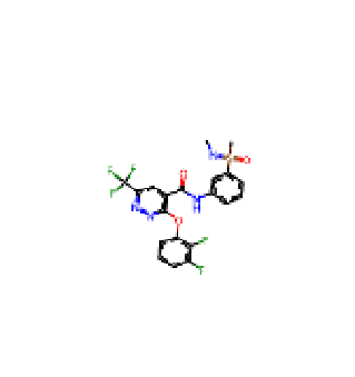 CN=S(C)(=O)c1cccc(NC(=O)c2cc(C(F)(F)F)nnc2Oc2cccc(F)c2F)c1